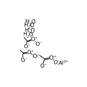 CC([O-])=[O+][O-].CC([O-])=[O+][O-].CC([O-])=[O+][O-].O.O.O.O.[Al+3]